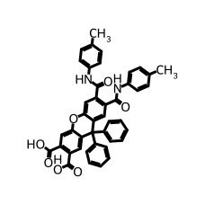 Cc1ccc(NC(=O)c2cc3c(cc2C(=O)Nc2ccc(C)cc2)C(c2ccccc2)(c2ccccc2)c2cc(C(=O)O)c(C(=O)O)cc2O3)cc1